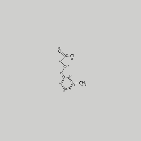 Cc1cccc(COCC(=O)Cl)c1